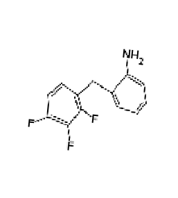 Nc1ccccc1Cc1ccc(F)c(F)c1F